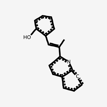 C/C(=C\c1ccccc1O)c1ccc2ccccc2n1